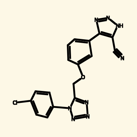 N#Cc1[nH]nnc1-c1cccc(OCc2nnnn2-c2ccc(Cl)cc2)c1